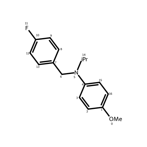 COc1ccc(N(Cc2ccc(F)cc2)C(C)C)cc1